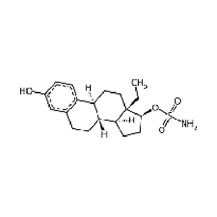 CC[C@]12CC[C@@H]3c4ccc(O)cc4CC[C@H]3[C@@H]1CC[C@@H]2OS(N)(=O)=O